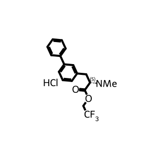 CN[C@@H](Cc1cccc(-c2ccccc2)c1)C(=O)OCC(F)(F)F.Cl